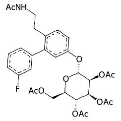 CC(=O)NCCc1ccc(O[C@H]2O[C@H](COC(C)=O)[C@@H](OC(C)=O)[C@H](OC(C)=O)[C@@H]2OC(C)=O)cc1-c1cccc(F)c1